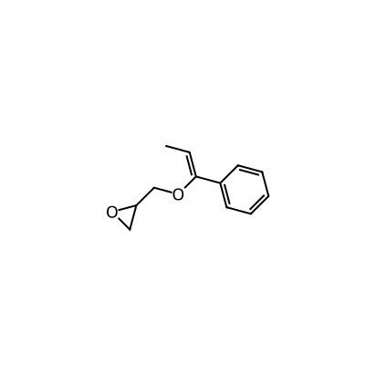 CC=C(OCC1CO1)c1ccccc1